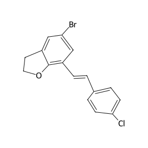 Clc1ccc(C=Cc2cc(Br)cc3c2OCC3)cc1